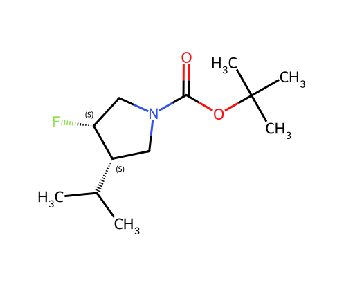 CC(C)[C@H]1CN(C(=O)OC(C)(C)C)C[C@H]1F